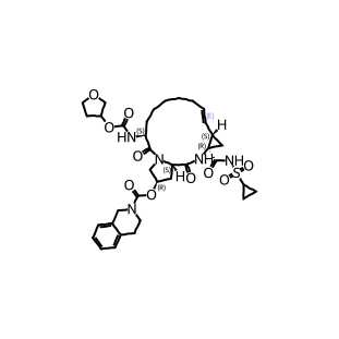 O=C(N[C@H]1CCCCC/C=C/[C@@H]2C[C@@]2(C(=O)NS(=O)(=O)C2CC2)NC(=O)[C@@H]2C[C@@H](OC(=O)N3CCc4ccccc4C3)CN2C1=O)OC1CCOC1